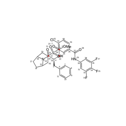 COC(=O)N[C@@H](Cc1ccccc1)C(=O)N1C2CCC1CC(S(=O)(=O)c1cc(C(=O)Nc3cc(F)c(F)c(F)c3)ccc1Cl)C2